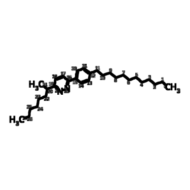 CCCCCCCCCCCCc1ccc(-c2ccc(C(C)CCCCCC)nn2)cc1